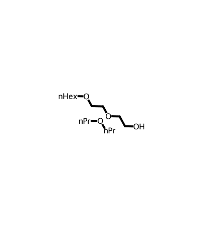 CCCCCCOCCOCCO.CCCOCCC